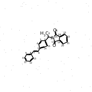 CC(c1ccc(/C=C/c2ccccc2)cc1)N1C(=O)c2ccccc2C1=O